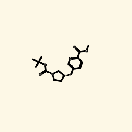 COC(=O)c1ccc(C[C@@H]2CCN(C(=O)OC(C)(C)C)C2)cn1